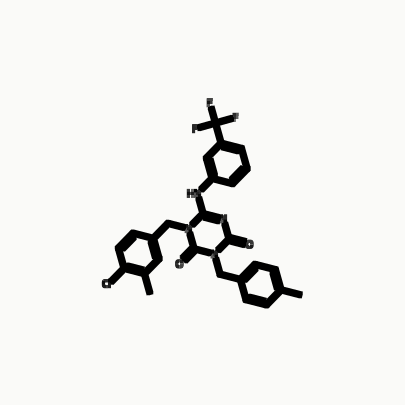 Cc1ccc(Cn2c(=O)nc(Nc3cccc(C(F)(F)F)c3)n(Cc3ccc(Cl)c(C)c3)c2=O)cc1